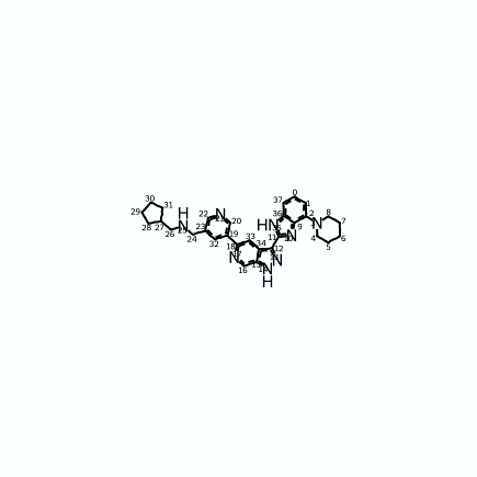 c1cc(N2CCCCC2)c2nc(-c3n[nH]c4cnc(-c5cncc(CNCC6CCCC6)c5)cc34)[nH]c2c1